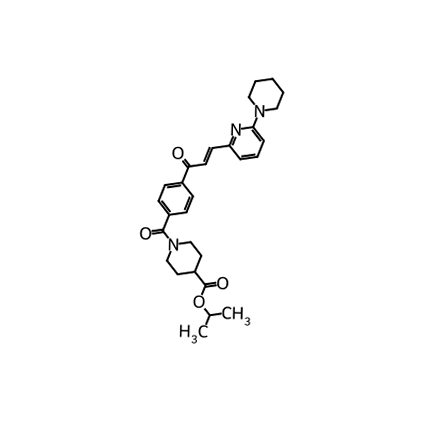 CC(C)OC(=O)C1CCN(C(=O)c2ccc(C(=O)C=Cc3cccc(N4CCCCC4)n3)cc2)CC1